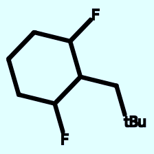 CC(C)(C)CC1C(F)CCCC1F